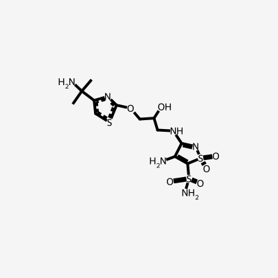 CC(C)(N)c1csc(OCC(O)CNC2=NS(=O)(=O)C(S(N)(=O)=O)=C2N)n1